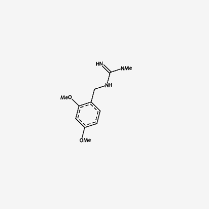 CNC(=N)NCc1ccc(OC)cc1OC